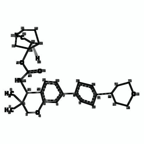 CC1(C)COc2cc(-c3ccc(C4CCOCC4)cc3)ccc2C1NC(=O)O[C@H]1CN2CCC1CC2